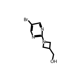 OCC1CN(c2ncc(Br)cn2)C1